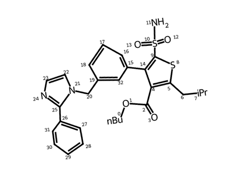 CCCCOC(=O)c1c(CC(C)C)sc(S(N)(=O)=O)c1-c1cccc(Cn2ccnc2-c2ccccc2)c1